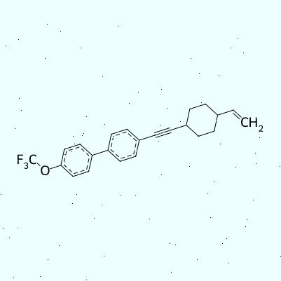 C=CC1CCC(C#Cc2ccc(-c3ccc(OC(F)(F)F)cc3)cc2)CC1